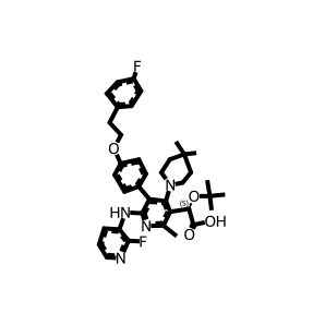 Cc1nc(Nc2cccnc2F)c(-c2ccc(OCCc3ccc(F)cc3)cc2)c(N2CCC(C)(C)CC2)c1[C@H](OC(C)(C)C)C(=O)O